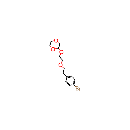 Brc1ccc(CCOCCOC2COCCO2)cc1